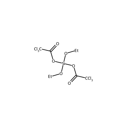 CCO[Si](OCC)(OC(=O)C(Cl)(Cl)Cl)OC(=O)C(Cl)(Cl)Cl